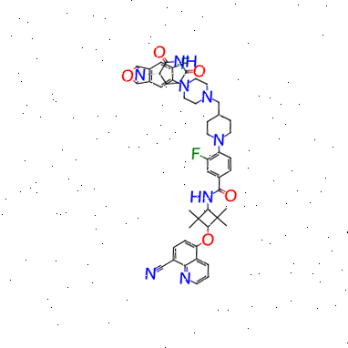 CC1(C)C(NC(=O)c2ccc(N3CCC(CN4CCN(c5cc6c(cc5F)C5OC6N5[C@H]5CCC(=O)NC5=O)CC4)CC3)c(F)c2)C(C)(C)C1Oc1ccc(C#N)c2ncccc12